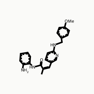 COc1ccc(CNc2ccc(/C=C(/C)C(=O)Nc3ccccc3N)cn2)cc1